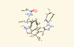 CNC(N)=O.Cn1cc(C(O)(c2ccc3c(cnn3-c3ccc(F)cc3)c2)C(F)(F)F)c2cccc(C(=O)O)c21